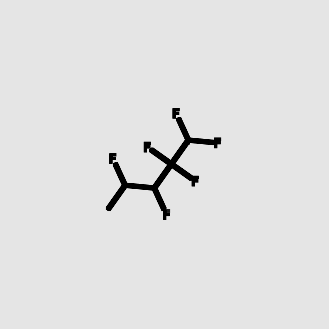 CC(F)C(F)C(F)(F)[C](F)F